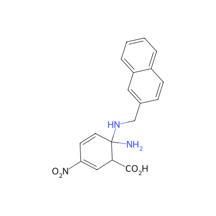 NC1(NCc2ccc3ccccc3c2)C=CC([N+](=O)[O-])=CC1C(=O)O